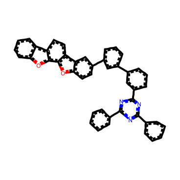 c1ccc(-c2nc(-c3ccccc3)nc(-c3cccc(-c4cccc(-c5ccc6oc7c(ccc8c9ccccc9oc87)c6c5)c4)c3)n2)cc1